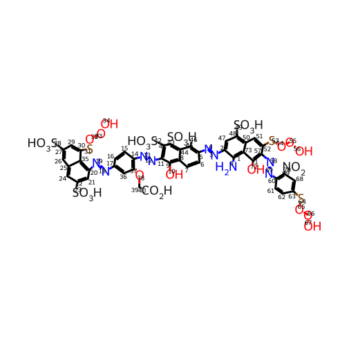 Nc1c(N=Nc2ccc3c(O)c(N=Nc4ccc(N=Nc5cc(S(=O)(=O)O)cc6cc(S(=O)(=O)O)cc(SOOO)c56)cc4OCC(=O)O)c(S(=O)(=O)O)cc3c2S(=O)(=O)O)cc(S(=O)(=O)O)c2cc(SOOO)c(N=Nc3ccc(SOOO)cc3[N+](=O)[O-])c(O)c12